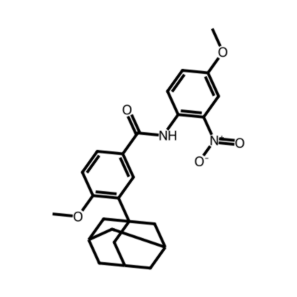 COc1ccc(NC(=O)c2ccc(OC)c(C34CC5CC(CC(C5)C3)C4)c2)c([N+](=O)[O-])c1